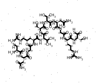 CC(C)[C@H](NC(=O)[C@H](CCCNC(=N)N)NC(=O)CNC(=O)[C@H](CC(N)=O)NC(=O)[C@@H](N)CS)C(=O)N[C@@H](CO)C(=O)N[C@H](C(=O)N[C@@H](CC(N)=O)C(=O)NCC(=O)N[C@@H](CCCNC(=N)N)C(=O)N[C@@H](CS)C(=O)S)[C@@H](C)O